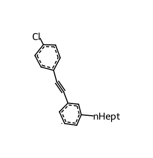 CCCCCCCc1c[c]cc(C#Cc2ccc(Cl)cc2)c1